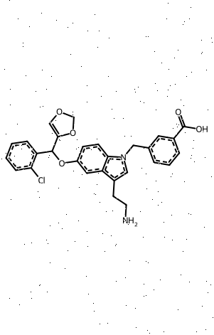 NCCc1cn(Cc2cccc(C(=O)O)c2)c2ccc(OC(C3=COCO3)c3ccccc3Cl)cc12